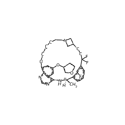 C[C@H]1Nc2ncnc3c(cc(OC4CCOC4)cc23)OCCCCN2CC(CCC(F)(F)c3cccc1c3F)C2